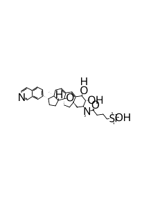 CN(C(=O)CCC[Si](C)(C)O)[C@H]1C[C@@]23CC[C@@]4(O2)C(=CC[C@]2(C)[C@@H](c5ccc6ccncc6c5)CC[C@H]24)C=C3[C@@H](O)[C@@H]1O